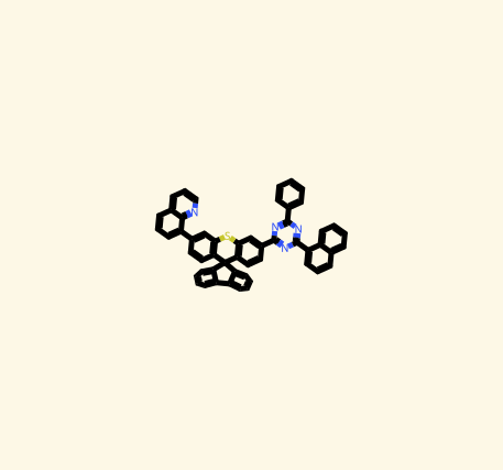 c1ccc(-c2nc(-c3ccc4c(c3)Sc3cc(-c5cccc6cccnc56)ccc3C43c4ccccc4-c4ccccc43)nc(-c3cccc4ccccc34)n2)cc1